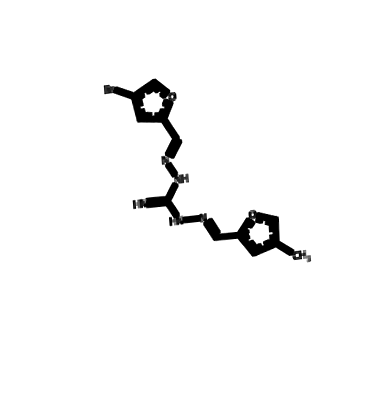 Cc1coc(/C=N/NC(=N)N/N=C/c2cc(Br)co2)c1